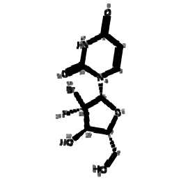 O=c1ccn([C@@H]2O[C@H](CO)[C@@H](O)[C@@]2(F)Br)c(=O)[nH]1